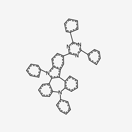 c1ccc(-c2nc(-c3ccccc3)nc(-c3ccc4c(c3)c3c(n4-c4ccccc4)-c4ccccc4N(c4ccccc4)c4ccccc4-3)n2)cc1